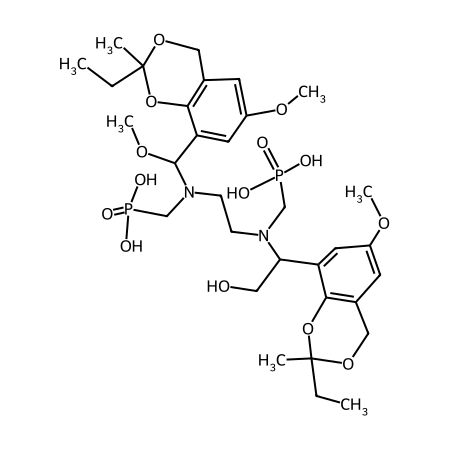 CCC1(C)OCc2cc(OC)cc(C(CO)N(CCN(CP(=O)(O)O)C(OC)c3cc(OC)cc4c3OC(C)(CC)OC4)CP(=O)(O)O)c2O1